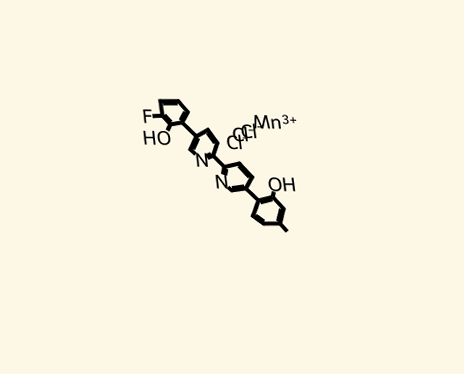 Cc1ccc(-c2ccc(-c3ccc(-c4cccc(F)c4O)cn3)nc2)c(O)c1.[Cl-].[Cl-].[Cl-].[Mn+3]